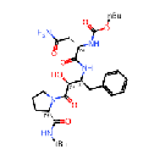 CCCCOC(=O)N[C@@H](CC(N)=O)C(=O)N[C@@H](Cc1ccccc1)[C@H](O)C(=O)N1CCC[C@H]1C(=O)NC(C)(C)C